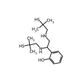 CC(C)(S)CNCC(NCC(C)(C)S)c1ccccc1O